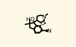 COc1c(C#N)ccc2c1C(O)(C1CCN(C)CC1)C(C)(C)C2